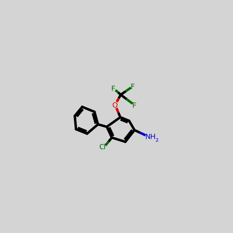 Nc1cc(Cl)c(-c2ccccc2)c(OC(F)(F)F)c1